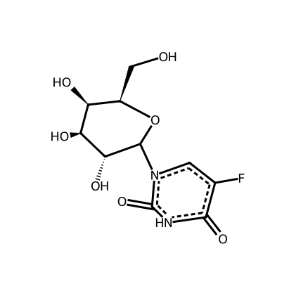 O=c1[nH]c(=O)n(C2O[C@H](CO)[C@H](O)[C@H](O)[C@H]2O)cc1F